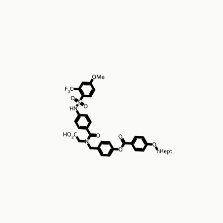 CCCCCCCOc1ccc(C(=O)Oc2ccc(CN(CC(=O)O)C(=O)c3ccc(NS(=O)(=O)c4ccc(OC)cc4C(F)(F)F)cc3)cc2)cc1